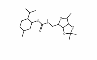 CC1CCC(C(C)C)C(OC(=O)NCC2OC(C)C3OC(C)(C)OC23)C1